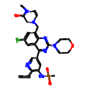 COc1ncc(-c2nc(N3CCOCC3)nc3c(CN4CCN(C)C(=O)C4)cc(F)cc23)cc1NS(C)(=O)=O